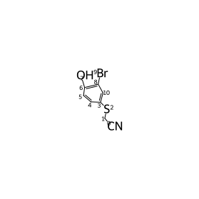 N#CCSc1ccc(O)c(Br)c1